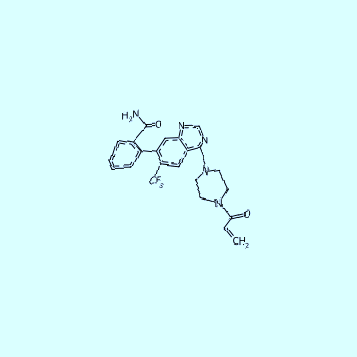 C=CC(=O)N1CCN(c2ncnc3cc(-c4ccccc4C(N)=O)c(C(F)(F)F)cc23)CC1